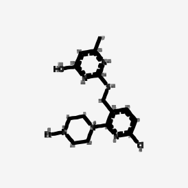 CCN1CCN(c2nc(Cl)ccc2CSc2nc(C)cc(O)n2)CC1